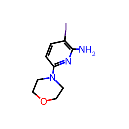 Nc1nc(N2CCOCC2)ccc1I